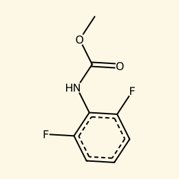 COC(=O)Nc1c(F)cccc1F